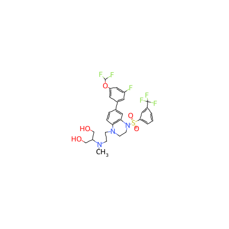 CN(CCN1CCN(S(=O)(=O)c2cccc(C(F)(F)F)c2)c2cc(-c3cc(F)cc(OC(F)F)c3)ccc21)C(CO)CO